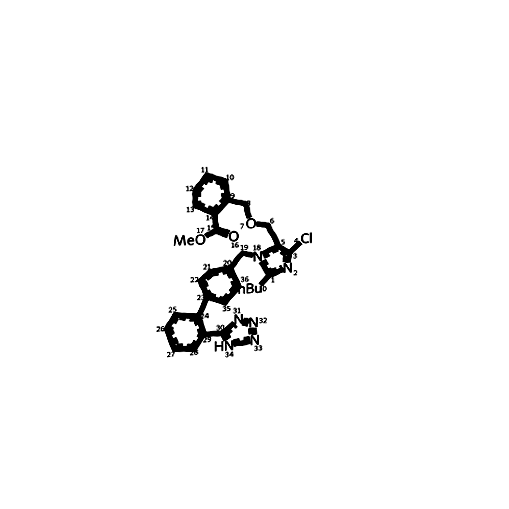 CCCCc1nc(Cl)c(COCc2ccccc2C(=O)OC)n1Cc1ccc(-c2ccccc2-c2nnn[nH]2)cc1